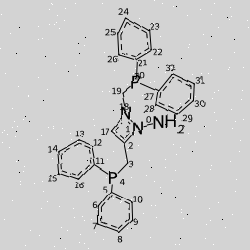 Nn1c(CP(c2ccccc2)c2ccccc2)cn1CP(c1ccccc1)c1ccccc1